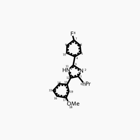 CCCc1nc(-c2ccc(F)cc2)[nH]c1-c1cccc(OC)c1